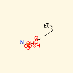 CC/C=C\C/C=C\C/C=C\CCCCCCCCC(=O)OC[C@@H](O)COP(=O)(O)OCC[N+](C)(C)C